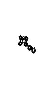 O=P12c3ccccc3-c3ccccc3N1c1ccc(-c3ccc(-c4ccccn4)cc3)cc1-c1ccccc12